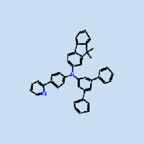 CC1(C)c2ccccc2-c2ccc(N(c3ccc(-c4ccccn4)cc3)c3cc(-c4ccccc4)cc(-c4ccccc4)c3)cc21